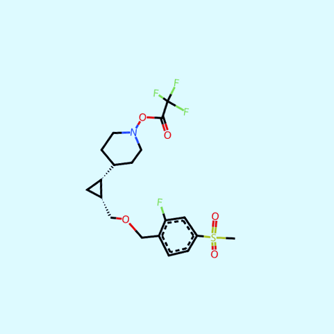 CS(=O)(=O)c1ccc(COC[C@@H]2C[C@@H]2C2CCN(OC(=O)C(F)(F)F)CC2)c(F)c1